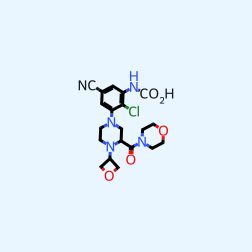 N#Cc1cc(NC(=O)O)c(Cl)c(N2CCN(C3COC3)C(C(=O)N3CCOCC3)C2)c1